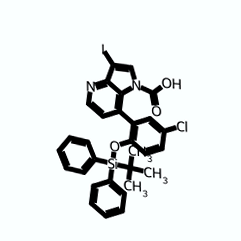 CC(C)(C)[Si](Oc1ccc(Cl)cc1-c1ccnc2c(I)cn(C(=O)O)c12)(c1ccccc1)c1ccccc1